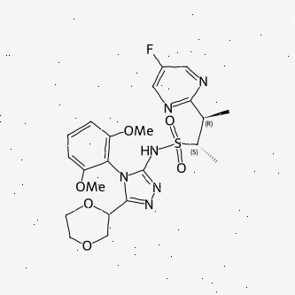 COc1cccc(OC)c1-n1c(NS(=O)(=O)[C@@H](C)[C@H](C)c2ncc(F)cn2)nnc1C1COCCO1